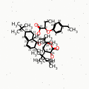 CCc1ccc(OC(CC)C(=O)O[C@H]2C[C@H](C(C)(C)C)C=C3C=C[C@H](C)[C@](CC[C@@H]4C[C@H](C(C)(C)C)C(O[SiH](C)C)C(=O)O4)(O[SiH](C)C)[C@H]32)cc1